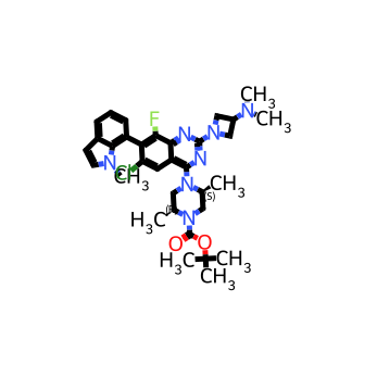 C[C@@H]1CN(c2nc(N3CC(N(C)C)C3)nc3c(F)c(-c4cccc5ccn(C)c45)c(Cl)cc23)[C@@H](C)CN1C(=O)OC(C)(C)C